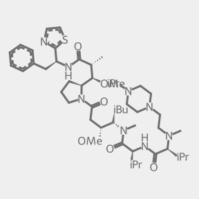 CC[C@H](C)[C@@H]([C@@H](CC(=O)N1CCC[C@H]1[C@H](OC)[C@@H](C)C(=O)N[C@@H](Cc1ccccc1)c1nccs1)OC)N(C)C(=O)[C@@H](NC(=O)[C@H](C(C)C)N(C)CCN1CCN(C(C)C)CC1)C(C)C